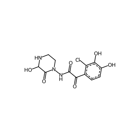 O=C(NN1CCNC(O)C1=O)C(=O)c1ccc(O)c(O)c1Cl